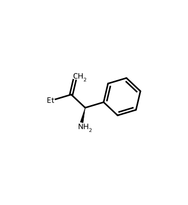 C=C(CC)[C@H](N)c1ccccc1